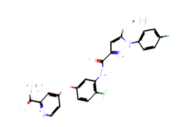 CNC(=O)c1cc(Oc2ccc(F)c(NC(=O)c3cc([S+](C)[O-])n(-c4ccc(F)cc4)n3)c2)ccn1